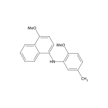 COc1ccc(C)cc1Nc1ccc(OC)c2ccccc12